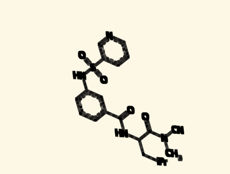 CC(C)CC(NC(=O)c1cccc(NS(=O)(=O)c2cccnc2)c1)C(=O)N(C)C#N